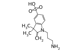 C=C1N(CCCN)c2ccc(S(=O)(=O)O)cc2C1(C)C